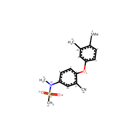 CSc1ccc(Oc2ccc(N(C)S(C)(=O)=O)cc2C#N)cc1C